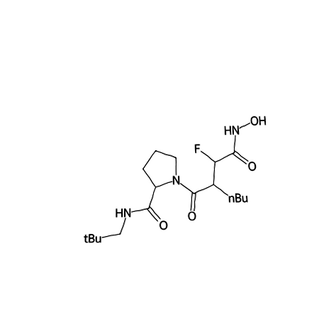 CCCCC(C(=O)N1CCCC1C(=O)NCC(C)(C)C)C(F)C(=O)NO